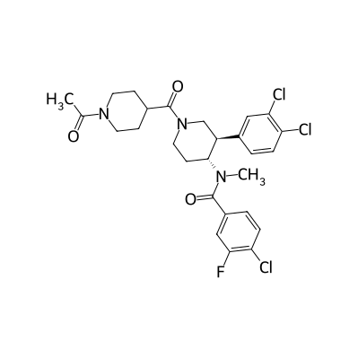 CC(=O)N1CCC(C(=O)N2CC[C@@H](N(C)C(=O)c3ccc(Cl)c(F)c3)[C@H](c3ccc(Cl)c(Cl)c3)C2)CC1